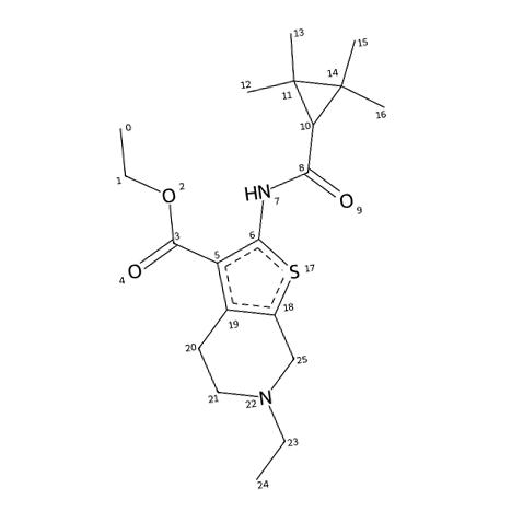 CCOC(=O)c1c(NC(=O)C2C(C)(C)C2(C)C)sc2c1CCN(CC)C2